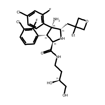 CCC1(C[C@@H]2N[C@@H](C(=O)NCC[C@H](O)CO)[C@H](c3cccc(Cl)c3F)[C@@]2(N)c2ccc(Cl)cc2F)COC1